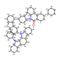 O=c1c2ccc(-c3ccccc3)cc2c2cccc3c4cc(-c5cccc6sc7ccc(-n8c9ccccc9c9ccc%10c%11ccccc%11n(-c%11ccccc%11)c%10c98)cc7c56)ccc4n1c23